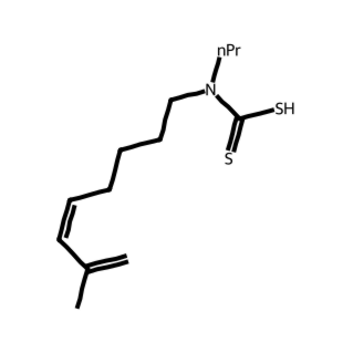 C=C(C)/C=C\CCCCN(CCC)C(=S)S